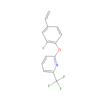 C=Cc1ccc(Oc2cccc(C(F)(F)F)n2)c(F)c1